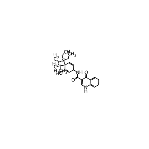 CC[Si](CC)(CC)C1(C(C)(C)C)C=CC(NC(=O)c2c[nH]c3ccccc3c2=O)C=C1O